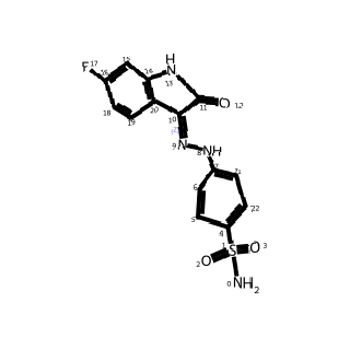 NS(=O)(=O)c1ccc(N/N=C2\C(=O)Nc3cc(F)ccc32)cc1